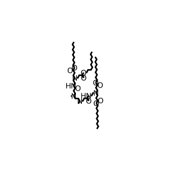 CCCCCCCCCCOC(=O)CCN(CCNC(=O)CCN(C)CCN(C)CCC(=O)NCCN(CCC(=O)OCCCCCCCCCC)CCC(=O)OCCCCCCCCCC)CCC(=O)OCCCCCCCCCC